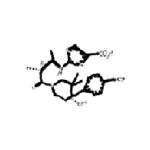 CC(Nc1ncc(C(=O)O)s1)[C@@H](C)C(=O)N1CC[C@](O)(c2ccc(Cl)cc2)C(C)(C)C1